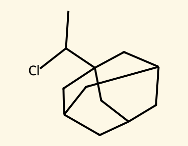 CC(Cl)C12CC3CC(CC(C3)C1)C2